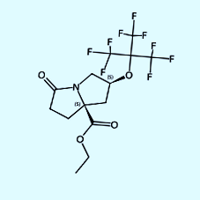 CCOC(=O)[C@@]12CCC(=O)N1C[C@@H](OC(C(F)(F)F)(C(F)(F)F)C(F)(F)F)C2